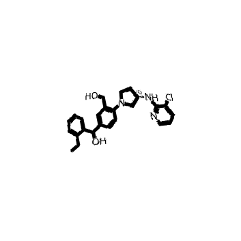 CCc1ccccc1C(O)c1ccc(N2CC[C@H](Nc3ncccc3Cl)C2)c(CO)c1